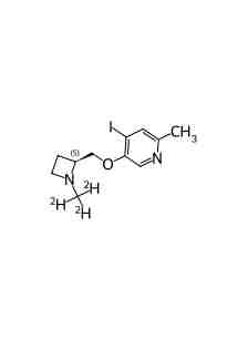 [2H]C([2H])([2H])N1CC[C@H]1COc1cnc(C)cc1I